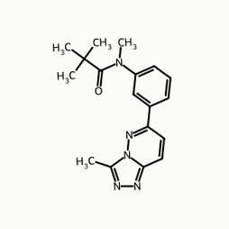 Cc1nnc2ccc(-c3cccc(N(C)C(=O)C(C)(C)C)c3)nn12